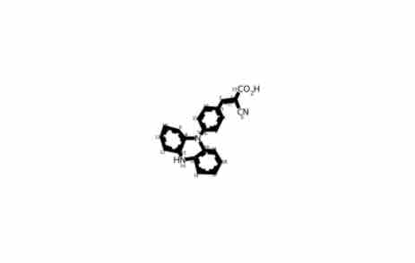 N#C/C(=C\c1ccc(N2c3ccccc3Nc3ccccc32)cc1)C(=O)O